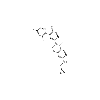 Cc1cnc(-c2cc(N3CCc4nc(NCC5CC5)ncc4C3C)ncc2Cl)c(C)c1